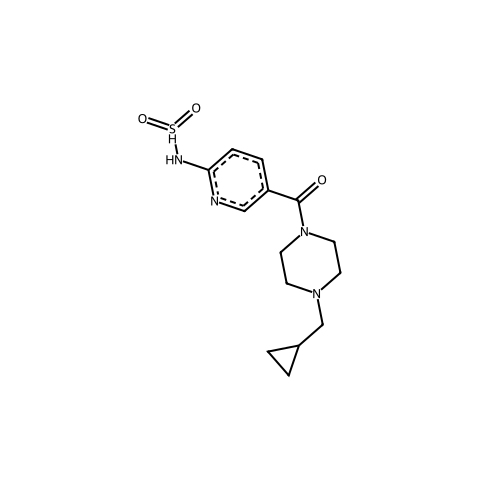 O=C(c1ccc(N[SH](=O)=O)nc1)N1CCN(CC2CC2)CC1